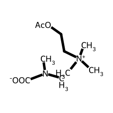 CC(=O)OCC[N+](C)(C)C.CN(C)C(=O)[O-]